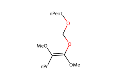 CCCCCOCOC(OC)=C(CCC)OC